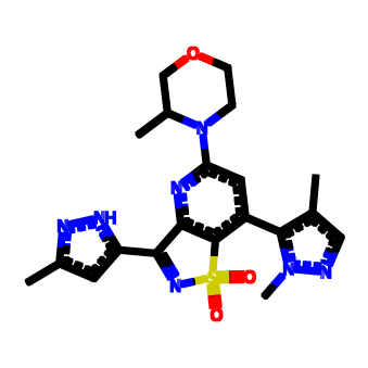 Cc1cc(C2=NS(=O)(=O)c3c(-c4c(C)cnn4C)cc(N4CCOCC4C)nc32)[nH]n1